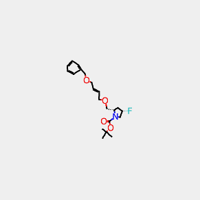 CC(C)(C)OC(=O)N1C[C@@H](F)C[C@H]1COCC=CCOCc1ccccc1